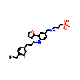 CC(C)Cc1ccc(CCCNc2ccc(CNCCCP(=O)(O)O)cc2-c2ccco2)cc1F